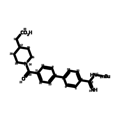 CCCCNC(=N)c1ccc(-c2ccc(C(=O)N3CCC(CC(=O)O)CC3)cc2)cc1